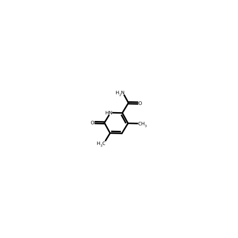 Cc1cc(C)c(=O)[nH]c1C(N)=O